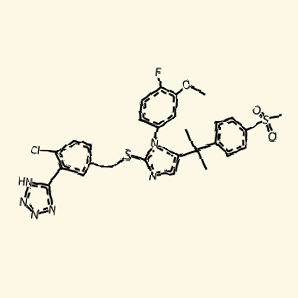 COc1cc(-n2c(C(C)(C)c3ccc(S(C)(=O)=O)cc3)cnc2SCc2ccc(Cl)c(-c3nnn[nH]3)c2)ccc1F